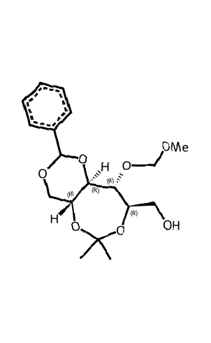 COCO[C@H]1[C@@H]2OC(c3ccccc3)OC[C@H]2OC(C)(C)O[C@@H]1CO